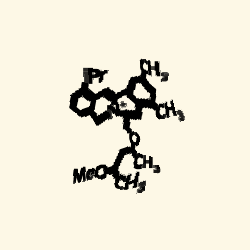 COC(C)CC(C)OCc1cc2c(C)cc(C)cc2c2cc3c(C(C)C)cccc3c[n+]12